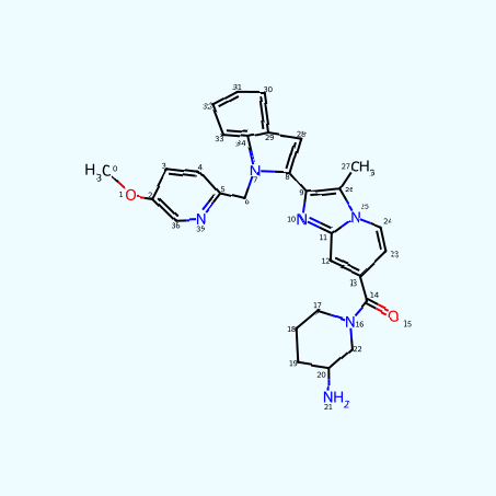 COc1ccc(Cn2c(-c3nc4cc(C(=O)N5CCCC(N)C5)ccn4c3C)cc3ccccc32)nc1